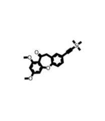 COc1cc(OC)c2c(c1)Oc1ccc(C#C[Si](C)(C)C)cc1CC2=O